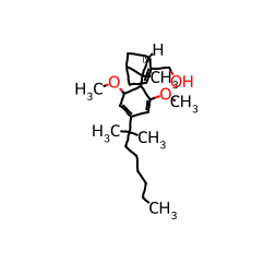 CCCCCCC(C)(C)C1=CC(OC)C(C2(C)C3CC=C(CO)[C@H]2C3)C(OC)=C1